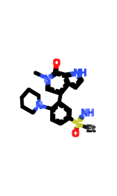 CCS(=N)(=O)c1ccc(N2CCCCC2)c(-c2cn(C)c(=O)c3[nH]ccc23)c1